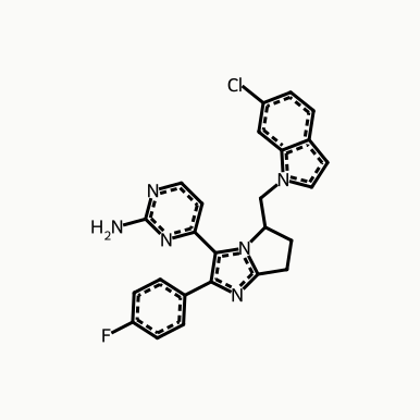 Nc1nccc(-c2c(-c3ccc(F)cc3)nc3n2C(Cn2ccc4ccc(Cl)cc42)CC3)n1